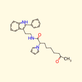 CC(=O)CCCCCC(C(=O)NCCc1c(-c2ccccc2)[nH]c2ccccc12)n1cccc1